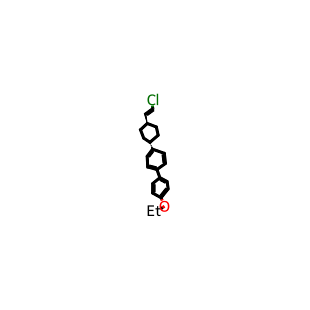 CCOc1ccc(-c2ccc([C@H]3CC[C@H](/C=C/Cl)CC3)cc2)cc1